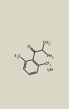 [CH2]C(P)C(=O)c1c(C(F)(F)F)cccc1C(F)(F)F.[LiH]